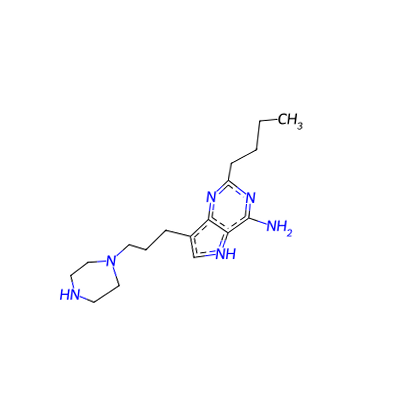 CCCCc1nc(N)c2[nH]cc(CCCN3CCNCC3)c2n1